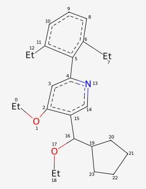 CCOc1cc(-c2c(CC)cccc2CC)ncc1C(OCC)C1CCCC1